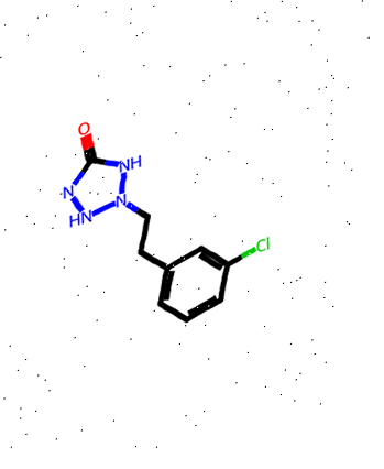 O=C1[N]NN(CCc2cccc(Cl)c2)N1